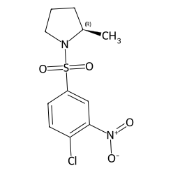 C[C@@H]1CCCN1S(=O)(=O)c1ccc(Cl)c([N+](=O)[O-])c1